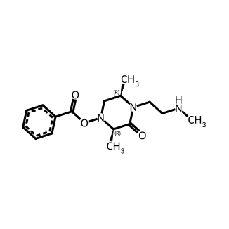 CNCCN1C(=O)[C@@H](C)N(OC(=O)c2ccccc2)C[C@H]1C